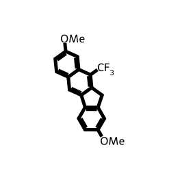 COc1ccc2c(c1)Cc1c-2cc2ccc(OC)cc2c1C(F)(F)F